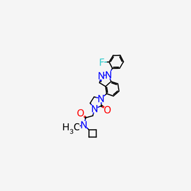 CN(C(=O)CN1CCN(c2cccc3c2cnn3-c2ccccc2F)C1=O)C1CCC1